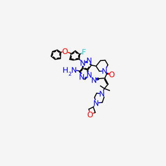 CC(C)(C=C(C#N)C(=O)N1CCCC(c2nn(-c3ccc(Oc4ccccc4)cc3F)c3c(N)ncnc23)C1)N1CCN(C2COC2)CC1